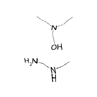 CN(C)O.CNN